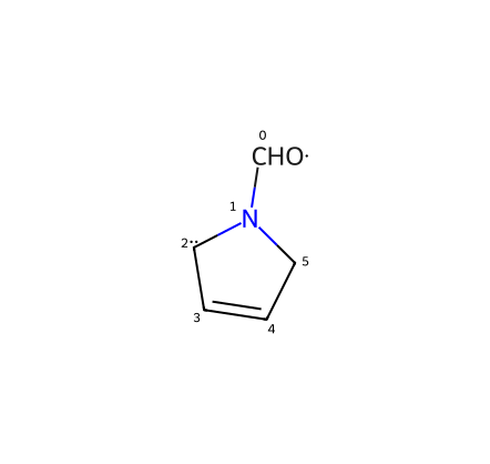 O=[C]N1[C]C=CC1